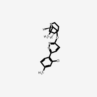 Cc1ccc(-c2ccc(O[C@@H]3C4CCN(CC4)[C@H]3C)nn2)c(Cl)c1